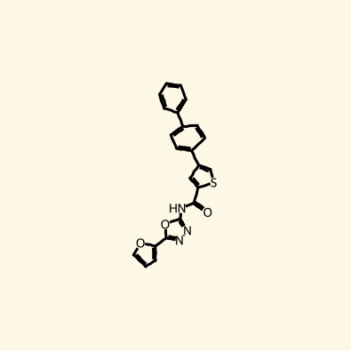 O=C(Nc1nnc(-c2ccco2)o1)c1cc(-c2ccc(-c3ccccc3)cc2)cs1